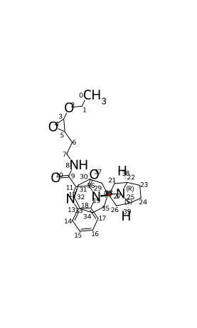 CCOC1OC1CCNC(=O)c1nc2ccccc2n([C@H]2C[C@H]3CC[C@@H](C2)N3C2CCCCCCC2)c1=O